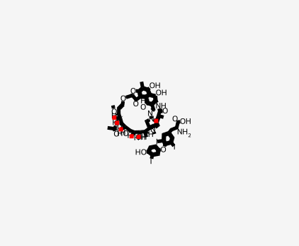 CO[C@H]1/C=C/O[C@@]2(C)Oc3c(C)c(O)c4c(O)c(c(/C=N/N5CCN(C)CC5)c(O)c4c3C2=O)NC(=O)/C(C)=C\C=C\[C@H](C)[C@H](O)[C@@H](C)[C@@H](O)[C@@H](C)[C@H](OC(C)=O)[C@@H]1C.N[C@@H](Cc1cc(I)c(Oc2ccc(O)c(I)c2)c(I)c1)C(=O)O